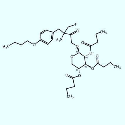 CCCCOc1ccc(CC(N)(CF)C(=O)CO[C@@H]2OC[C@@H](OC(=O)CCC)[C@H](OC(=O)CCC)[C@H]2OC(=O)CCC)cc1